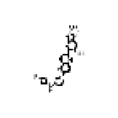 Cn1cc2cc(-c3ccc4nc(N5CC[C@@H](N[C@H]6C[C@@H](F)C6)C5)ccc4n3)c(O)cc2n1